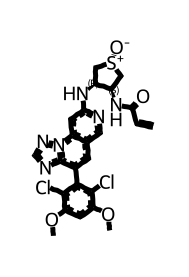 C=CC(=O)N[C@@H]1C[S+]([O-])C[C@@H]1Nc1cc2c(cn1)cc(-c1c(Cl)c(OC)cc(OC)c1Cl)c1ncnn12